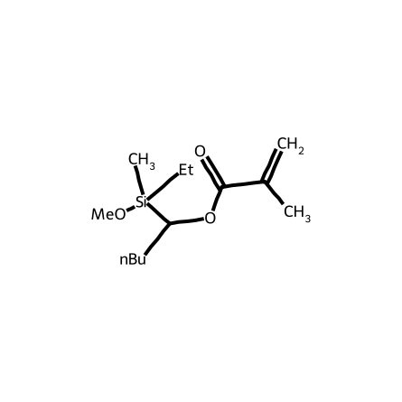 C=C(C)C(=O)OC(CCCC)[Si](C)(CC)OC